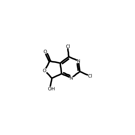 O=C1OC(O)c2nc(Cl)nc(Cl)c21